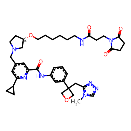 Cn1cnnc1CC1(c2cccc(NC(=O)c3cc(CN4CC[C@H](OCCCCCCNC(=O)CCN5C(=O)CCC5=O)C4)cc(C4CC4)n3)c2)COC1